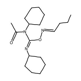 CCCC=NOC(=NC1CCCCC1)N(C(C)=O)C1CCCCC1